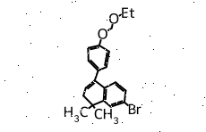 CCOCOc1ccc(C2=CCC(C)(C)c3cc(Br)ccc32)cc1